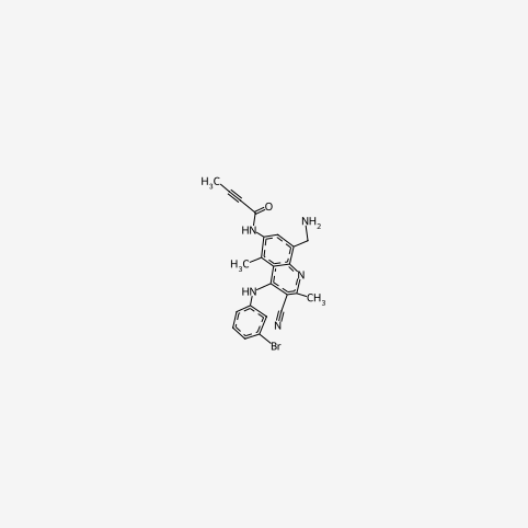 CC#CC(=O)Nc1cc(CN)c2nc(C)c(C#N)c(Nc3cccc(Br)c3)c2c1C